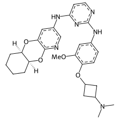 COc1cc(Nc2nccc(Nc3cnc4c(c3)O[C@@H]3CCCC[C@@H]3O4)n2)ccc1OC1CC(N(C)C)C1